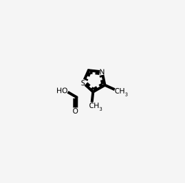 Cc1ncsc1C.O=CO